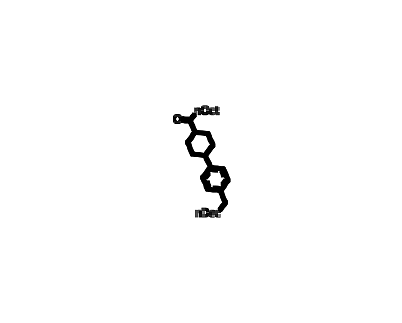 CCCCCCCCCCCc1ccc(C2CCC(C(=O)CCCCCCCC)CC2)cc1